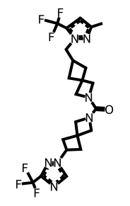 Cc1cc(C(F)(F)F)n(CC2CC3(C2)CN(C(=O)N2CC4(CC(n5cnc(C(F)(F)F)n5)C4)C2)C3)n1